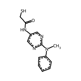 CN(c1ccccc1)c1ncc(NC(=O)CS)cn1